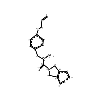 C=CCOc1ccc(C[C@@H](N)C(=O)N2Cc3ccccc3C2)cc1